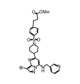 COC(=O)CCc1ccc(S(=O)(=O)N2CCC(c3cc(NCc4cccnc4)n4ncc(Br)c4n3)CC2)cc1